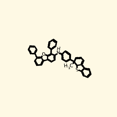 CC1(C2C=CC(Nc3ccc4c(oc5c(-c6ccccc6)cccc54)c3-c3ccccc3)=CC2)C=CC=C2c3ccccc3SC21